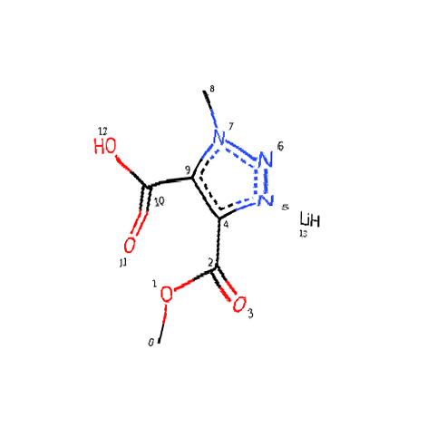 COC(=O)c1nnn(C)c1C(=O)O.[LiH]